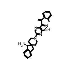 C=C(c1ccccc1C)c1n[nH]c2nc(N3CCC4(CC3)Cc3ccccc3[C@H]4N)cnc12